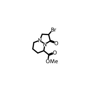 COC(=O)C1CCCN2CC(Br)C(=O)N12